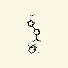 COc1csc(-c2ccc(C(=O)N[C@@H]3C[C@H]4CC[C@@H]3N4)s2)n1